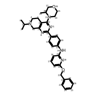 CC(C)N1CCc2c(nc(-c3ccc(Nc4cccc(OCc5ccccc5)n4)cc3)nc2N2CCOCC2C)C1